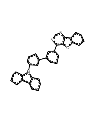 c1cc(-c2cccc(-n3c4ccccc4c4ccccc43)c2)cc(-c2ncnc3c2oc2ccccc23)c1